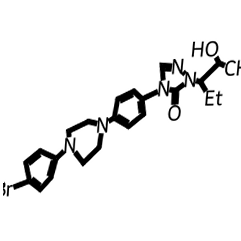 CCC(C(C)O)n1ncn(-c2ccc(N3CCN(c4ccc(Br)cc4)CC3)cc2)c1=O